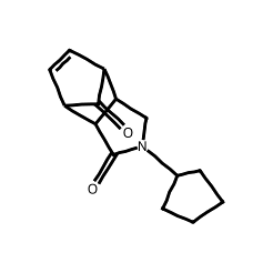 O=C1C2C=CC1C1C(=O)N(C3CCCC3)CC21